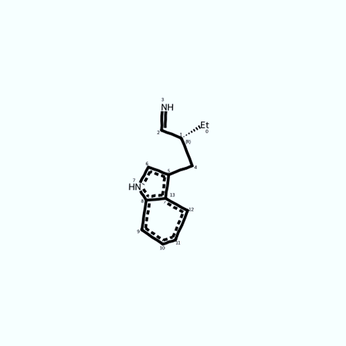 CC[C@@H](C=N)Cc1c[nH]c2ccccc12